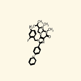 CC(C)C1CN2c3c(nc(-c4ccc([C@H]5C=CC=CC5)cc4)n3Cc3ccc(F)cc3F)C(=O)N(C)C2N1C